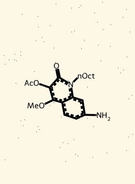 CCCCCCCCn1c(=O)c(OC(C)=O)c(OC)c2ccc(N)cc21